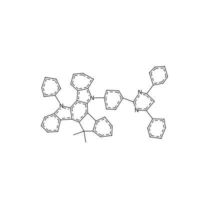 CC1(C)c2ccccc2-c2c1c1c3ccccc3n(-c3ccccc3)c1c1c3ccccc3n(-c3ccc(-c4nc(-c5ccccc5)cc(-c5ccccc5)n4)cc3)c21